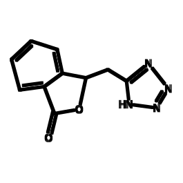 O=C1OC(Cc2nnn[nH]2)c2ccccc21